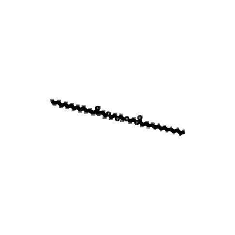 CCCCCCCCCCCCCCC(=O)OCCOCCOCCOCCOC(=O)CCCCCCCCCCCCCC